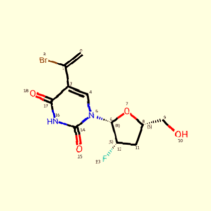 C=C(Br)c1cn([C@@H]2O[C@H](CO)C[C@@H]2F)c(=O)[nH]c1=O